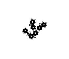 c1ccc(-c2nc3ccc4oc5ccc(N(c6ccc7c(c6)oc6ccccc67)c6ccc7oc8ccccc8c7c6)cc5c4c3o2)cc1